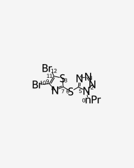 CCCn1nnnc1Sc1nc(Br)c(Br)s1